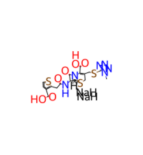 Cn1nnnc1SCC1=C(C(=O)O)N2C(=O)C(NC(=O)Cc3sccc3C(=O)O)[C@H]2SC1.[NaH].[NaH]